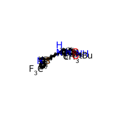 Cc1cc(NCCCCCCSc2ccnc3cc(C(F)(F)F)ccc23)ccc1N1CCC(OC(=O)NC(C)(C)C)CC1